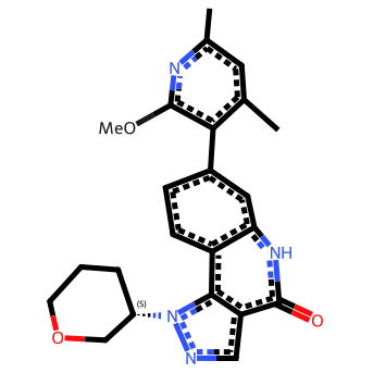 COc1nc(C)cc(C)c1-c1ccc2c(c1)[nH]c(=O)c1cnn([C@H]3CCCOC3)c12